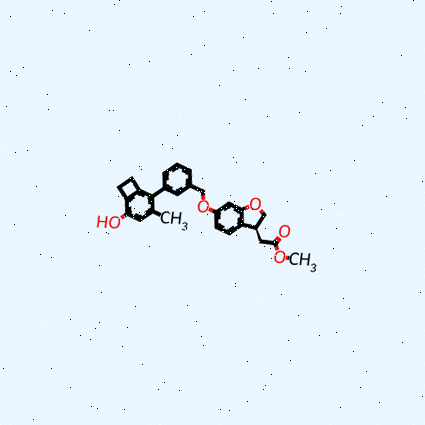 COC(=O)C[C@@H]1COc2cc(OCc3cccc(-c4c(C)cc(O)c5c4CC5)c3)ccc21